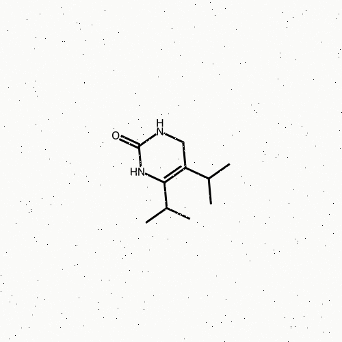 CC(C)C1=C(C(C)C)NC(=O)NC1